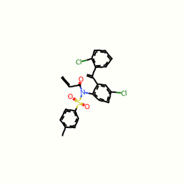 C=CC(=O)N(c1ccc(Cl)cc1C(=C)c1ccccc1Cl)S(=O)(=O)c1ccc(C)cc1